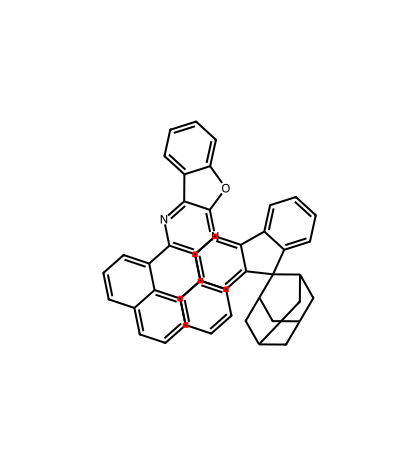 c1ccc(-c2nc3oc4ccccc4c3nc2-c2cccc3cccc(-c4ccc5c(c4)C4(c6ccccc6-5)C5CC6CC(C5)CC4C6)c23)cc1